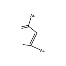 C=C(/C=C(\C)C(C)=O)C(C)=O